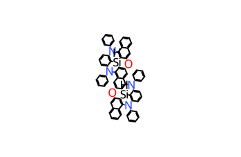 c1ccc(N2c3cccc4c3[SiH]3c5c(cc6ccccc6c52)Oc2cc5c6c7c(cc5c(c23)N4c2ccccc2)Oc2cc3ccccc3c3c2[SiH]7c2c(cccc2N6c2ccccc2)N3c2ccccc2)cc1